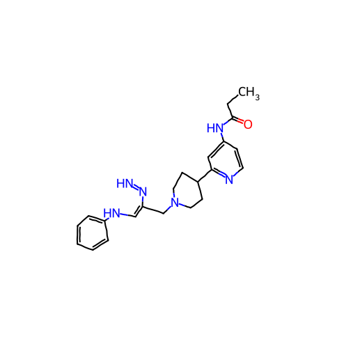 CCC(=O)Nc1ccnc(C2CCN(C/C(=C/Nc3ccccc3)N=N)CC2)c1